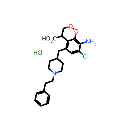 Cl.Nc1c(Cl)cc(CC2CCN(CCc3ccccc3)CC2)c2c1OOCC2C(=O)O